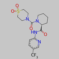 O=C(Nc1ccc(C(F)(F)F)cn1)[C@@H]1CCCCN1C(=O)N1CCS(=O)(=O)CC1